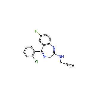 C#CCNC1=Nc2ccc(F)cc2C(c2ccccc2Cl)=NC1